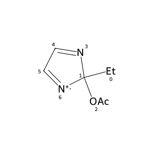 CCC1(OC(C)=O)N=CC=[N+]1